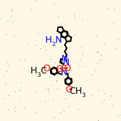 COc1ccc(CN(Cc2ccc(OC)cc2)S(=O)(=O)c2ccn(CCCCC3CCc4cc5c(c(N)c43)CCC5)n2)cc1